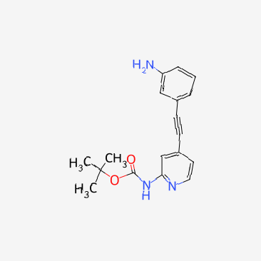 CC(C)(C)OC(=O)Nc1cc(C#Cc2cccc(N)c2)ccn1